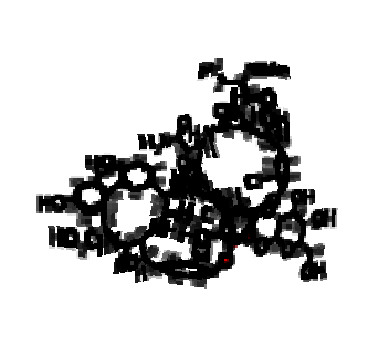 CN[C@H](CC(C)C)C(=O)N[C@H]1C(=O)N[C@@H](CC(N)=O)C(=O)N[C@H]2C(=O)N[C@H]3C(=O)NC(C(=O)N[C@H](C(=O)O)c4cc(O)cc(O)c4-c4cc3ccc4O)[C@H](O)c3ccc(c(Cl)c3)Oc3cc2cc(c3O[C@@H]2O[C@H](CO)[C@@H](O)[C@H](O)[C@H]2O[C@H]2C[C@](C)(N)[C@H](O)[C@H](C)O2)Oc2ccc(cc2Cl)[C@H]1O